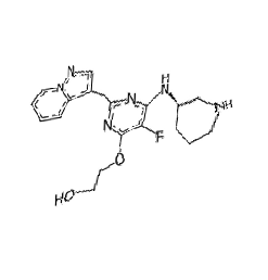 OCCOc1nc(-c2cnn3ccccc23)nc(N[C@@H]2CCCNC2)c1F